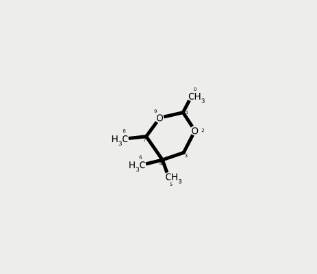 CC1OCC(C)(C)C(C)O1